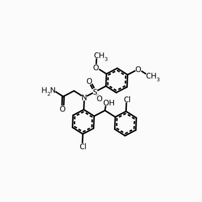 COc1ccc(S(=O)(=O)N(CC(N)=O)c2ccc(Cl)cc2C(O)c2ccccc2Cl)c(OC)c1